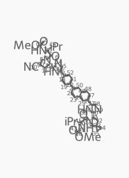 COC(=O)N[C@H](C(=O)N1C[C@@H](C#N)C[C@H]1c1ncc(-c2ccc(-c3ccc4cc(-c5cnc([C@@H]6CC7(CC7)CN6C(=O)[C@@H](NC(=O)OC)C(C)C)[nH]5)ccc4c3)cc2)[nH]1)C(C)C